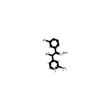 Br.CC(C)c1cccc(C(=O)C(Br)c2ccnc(N)c2)c1